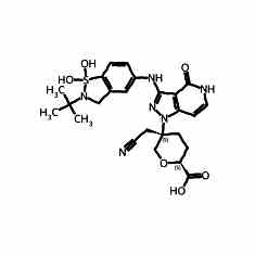 CC(C)(C)N1Cc2cc(Nc3nn([C@]4(CC#N)CC[C@@H](C(=O)O)OC4)c4cc[nH]c(=O)c34)ccc2S1(O)O